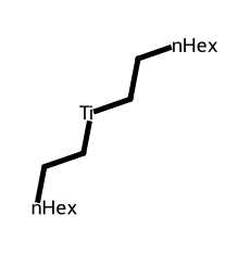 CCCCCCC[CH2][Ti][CH2]CCCCCCC